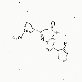 O=C1CC(c2cccc([N+](=O)[O-])c2)=Nc2ccc(-c3ccccc3F)cc2N1